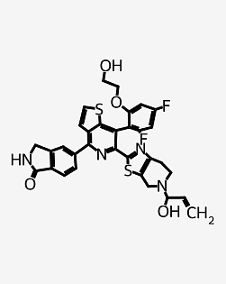 C=CC(O)N1CCc2nc(-c3nc(-c4ccc5c(c4)CNC5=O)c4ccsc4c3-c3c(F)cc(F)cc3OCCO)sc2C1